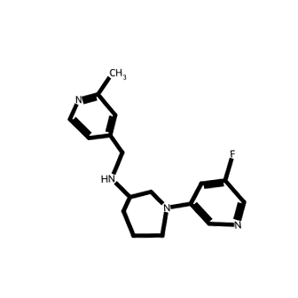 Cc1cc(CNC2CCCN(c3cncc(F)c3)C2)ccn1